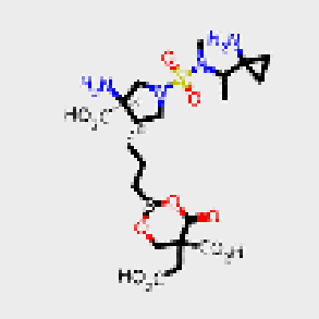 CC(N(C)S(=O)(=O)N1C[C@H](CCCB2OCC(CC(=O)O)(C(=O)O)C(=O)O2)[C@](N)(C(=O)O)C1)C1(N)CC1